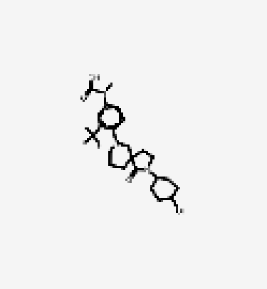 CN(C(=O)O)c1ccc(N2CCCC3(CCN(C4CCC(O)CC4)C3=O)C2)c(C(F)(F)F)c1